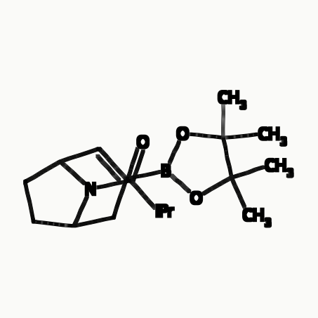 CC(C)C(=O)N1C2C=C(B3OC(C)(C)C(C)(C)O3)CC1CC2